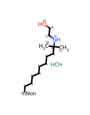 CCCCCCCCCCCCCCCCCC(C)(C)NCCO.Cl